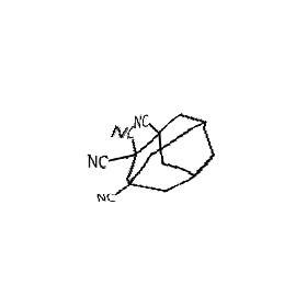 N#CC12CC3CC(C1)CC(C#N)(C3)C2(C#N)C#N